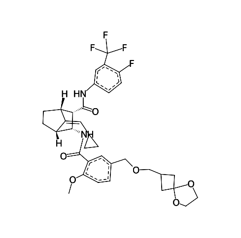 COc1ccc(COCC2CC3(C2)OCCO3)cc1C(=O)N[C@H]1[C@@H](C(=O)Nc2ccc(F)c(C(F)(F)F)c2)[C@H]2CC[C@@H]1/C2=C\C1CC1